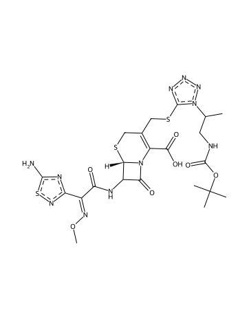 CON=C(C(=O)NC1C(=O)N2C(C(=O)O)=C(CSc3nnnn3C(C)CNC(=O)OC(C)(C)C)CS[C@@H]12)c1nsc(N)n1